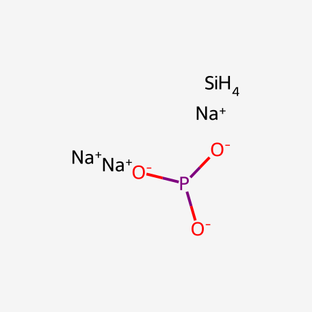 [Na+].[Na+].[Na+].[O-]P([O-])[O-].[SiH4]